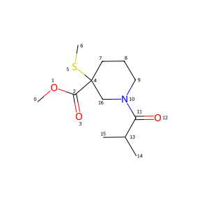 COC(=O)C1(SC)CCCN(C(=O)C(C)C)C1